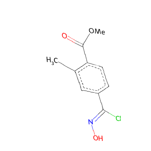 COC(=O)c1ccc(C(Cl)=NO)cc1C